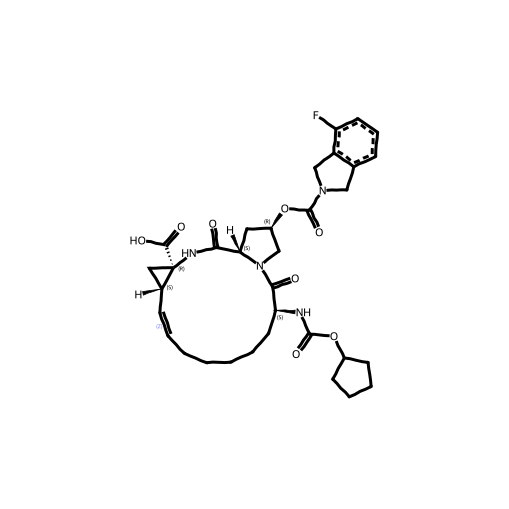 O=C(N[C@H]1CCCCC/C=C\[C@@H]2C[C@@]2(C(=O)O)NC(=O)[C@@H]2C[C@@H](OC(=O)N3Cc4cccc(F)c4C3)CN2C1=O)OC1CCCC1